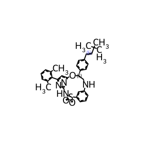 Cc1cccc(C)c1-c1cc2nc(n1)NS(=O)(=O)c1cccc(c1)NC[C@H](c1ccc(/C=C/C(C)(C)C)cc1)O2